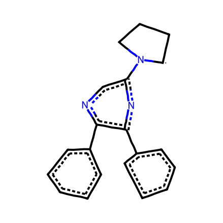 [CH]1CCCN1c1cnc(-c2ccccc2)c(-c2ccccc2)n1